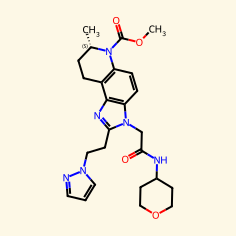 COC(=O)N1c2ccc3c(nc(CCn4cccn4)n3CC(=O)NC3CCOCC3)c2CC[C@@H]1C